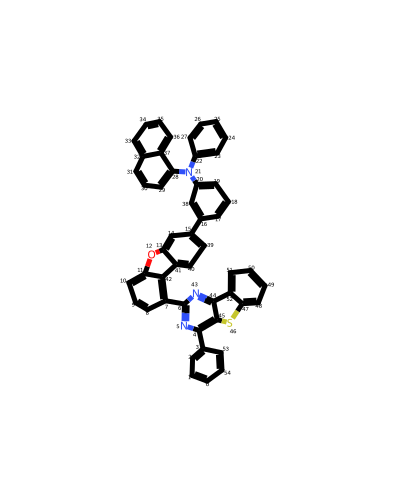 c1ccc(-c2nc(-c3cccc4oc5cc(-c6cccc(N(c7ccccc7)c7cccc8ccccc78)c6)ccc5c34)nc3c2sc2ccccc23)cc1